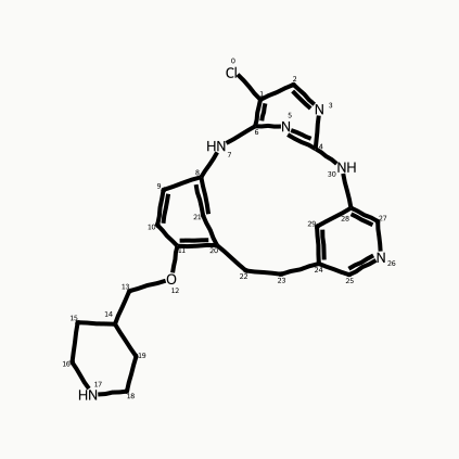 Clc1cnc2nc1Nc1ccc(OCC3CCNCC3)c(c1)CCc1cncc(c1)N2